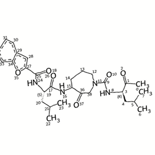 CC(=O)[C@@H](CC(C)C)NC(=O)N1CCCC(NC(=O)[C@H](CC(C)C)NC(=O)c2cc3ccccc3o2)C(=O)C1